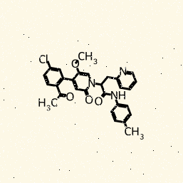 COc1cn(C(Cc2ccccn2)C(=O)Nc2ccc(C)cc2)c(=O)cc1-c1cc(Cl)ccc1C(C)=O